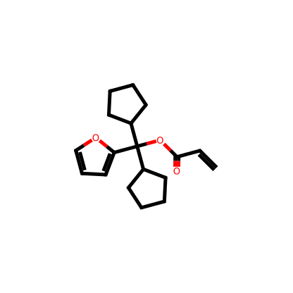 C=CC(=O)OC(c1ccco1)(C1CCCC1)C1CCCC1